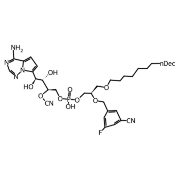 CCCCCCCCCCCCCCCCCOC[C@H](COP(=O)(O)OC[C@@H](OC#N)[C@@H](O)[C@@H](O)c1ccc2c(N)ncnn12)OCc1cc(F)cc(C#N)c1